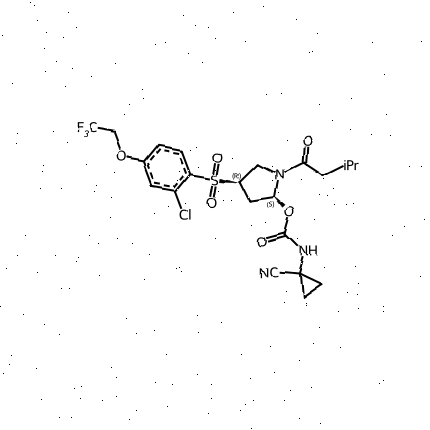 CC(C)CC(=O)N1C[C@H](S(=O)(=O)c2ccc(OCC(F)(F)F)cc2Cl)C[C@@H]1OC(=O)NC1(C#N)CC1